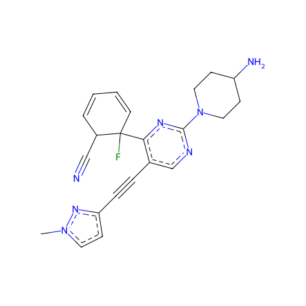 Cn1ccc(C#Cc2cnc(N3CCC(N)CC3)nc2C2(F)C=CC=CC2C#N)n1